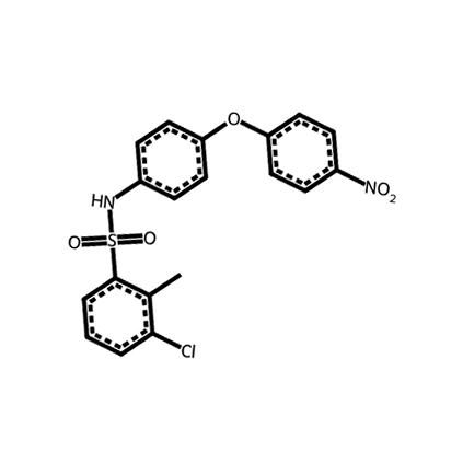 Cc1c(Cl)cccc1S(=O)(=O)Nc1ccc(Oc2ccc([N+](=O)[O-])cc2)cc1